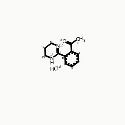 CC(=O)c1ccccc1C1=NCCCN1.Cl